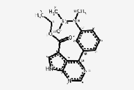 CCOC(=O)c1c[nH]c2ncnc(-c3cccc(N(C)[S+](C)[O-])c3)c12